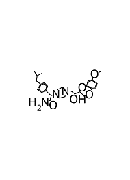 COc1ccc2c(c1)OC(C(O)CN1CCN(C(C(N)=O)c3ccc(CC(C)C)cc3)CC1)CO2